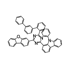 c1ccc(-c2cccc(-c3ccccc3-c3nc(-c4ccc5c(c4)oc4ccccc45)nc(-c4cccc5c6ccccc6n(-c6ccccc6)c45)n3)c2)cc1